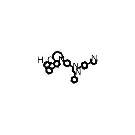 C=C1/C=C\C=C/CN(c2ccc(-c3cc(-c4ccccc4)nc(-c4ccc(-c5cccnc5)cc4)n3)cc2)c2ccc3c(c21)-c1cccc2cccc-3c12